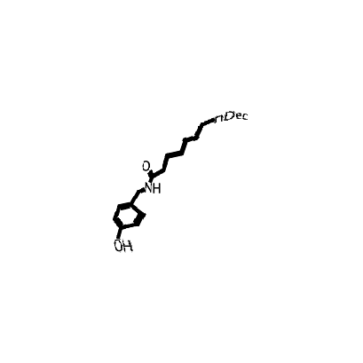 CCCCCCCCCCCCCCCCC(=O)NCc1ccc(O)cc1